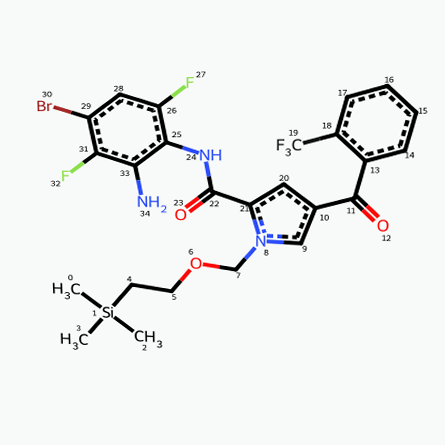 C[Si](C)(C)CCOCn1cc(C(=O)c2ccccc2C(F)(F)F)cc1C(=O)Nc1c(F)cc(Br)c(F)c1N